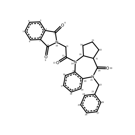 O=C1c2ccccc2C(=O)N1CC(=O)N1c2ccccc2N(Cc2ccccc2)C(=O)C2CCCC21